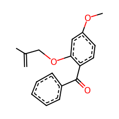 C=C(C)COc1cc(OC)ccc1C(=O)c1ccccc1